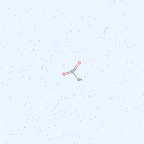 [O]=[Ti](=[O])[SH]